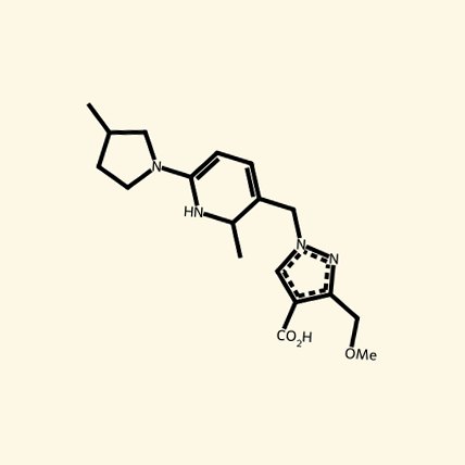 COCc1nn(CC2=CC=C(N3CCC(C)C3)NC2C)cc1C(=O)O